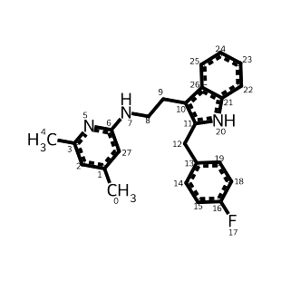 Cc1cc(C)nc(NCCc2c(Cc3ccc(F)cc3)[nH]c3ccccc23)c1